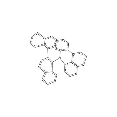 c1ccc(-c2ccccc2N(c2ccccc2)c2c(-c3cccc4ccccc34)ccc3ccccc23)cc1